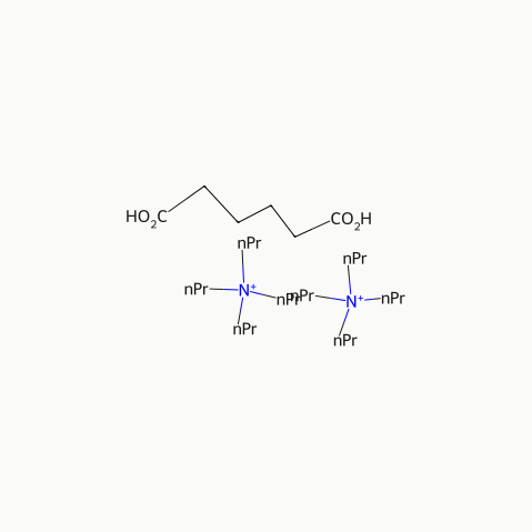 CCC[N+](CCC)(CCC)CCC.CCC[N+](CCC)(CCC)CCC.O=C(O)CCCCC(=O)O